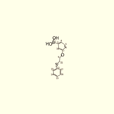 OB(O)c1cccc(OCCSc2ccccc2)c1